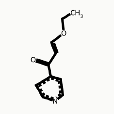 CCOC=CC(=O)c1ccncc1